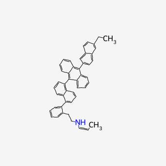 C/C=C\NCCc1ccccc1-c1cccc2c(-c3c4ccccc4c(-c4ccc5cc(CC)ccc5c4)c4ccccc34)cccc12